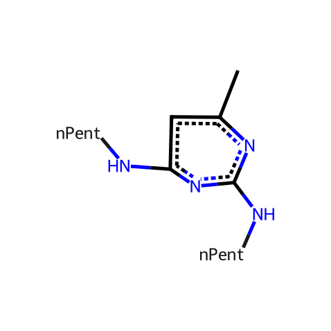 CCCCCNc1cc(C)nc(NCCCCC)n1